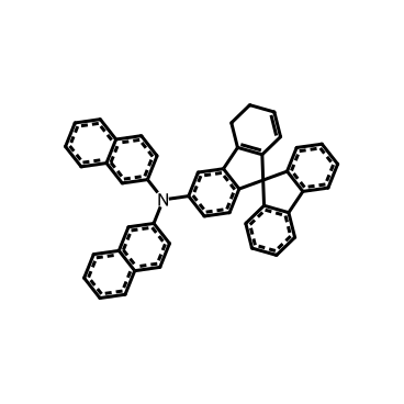 C1=CC2=C(CC1)c1cc(N(c3ccc4ccccc4c3)c3ccc4ccccc4c3)ccc1C21c2ccccc2-c2ccccc21